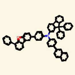 c1ccc(-c2cccc3c2oc2ccc(-c4ccc(N(c5ccc(-c6ccc7ccccc7c6)cc5)c5ccc6c(c5)C(c5ccccc5)(c5ccccc5)c5ccccc5-6)cc4)cc23)cc1